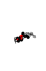 CC1(C)c2ccccc2-c2ccc(N(c3ccccc3)c3cccc(-c4c(F)ccc5c4C4(c6cc(F)ccc6-c6ccc(F)cc64)c4cc(F)ccc4-5)c3)cc21